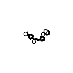 O=C(/C=C/c1cccc(OC2CCCCO2)c1)c1ccc(Cl)cc1